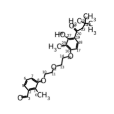 Cc1c(C=O)cccc1OCCOCCOc1ccc(C(=O)CC(C)(C)C)c(O)c1C